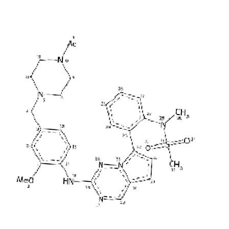 COc1cc(CN2CCN(C(C)=O)CC2)ccc1Nc1ncc2ccc(-c3ccccc3N(C)S(C)(=O)=O)n2n1